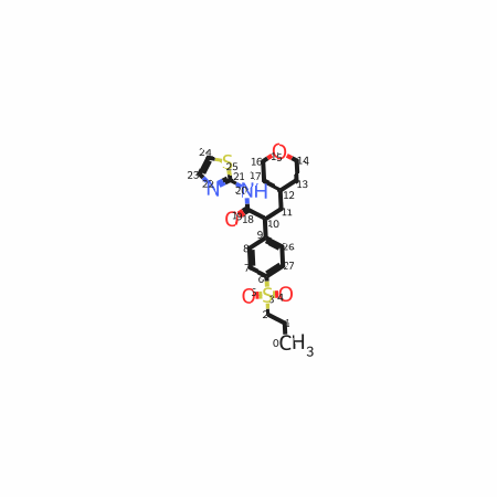 CCCS(=O)(=O)c1ccc(C(CC2CCOCC2)C(=O)Nc2nccs2)cc1